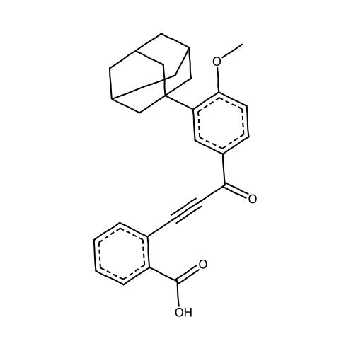 COc1ccc(C(=O)C#Cc2ccccc2C(=O)O)cc1C12CC3CC(CC(C3)C1)C2